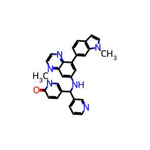 Cn1cc(C(Nc2cc(-c3ccc4ccn(C)c4c3)c3nccnc3c2)c2cccnc2)ccc1=O